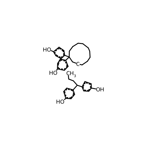 CCCC(c1ccc(O)cc1)c1ccc(O)cc1.Oc1ccc(C2(c3ccc(O)cc3)CCCCCCCCCCC2)cc1